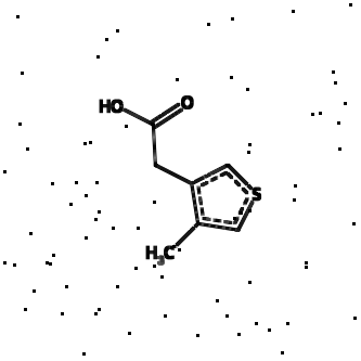 Cc1cscc1CC(=O)O